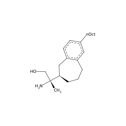 CCCCCCCCc1ccc2c(c1)CCC[C@@H]([C@](C)(N)CO)C2